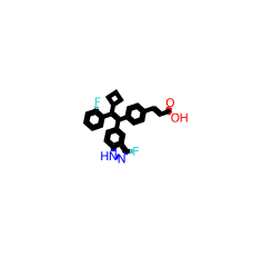 O=C(O)C=Cc1ccc(C(=C(c2ccccc2F)C2CCC2)c2ccc3[nH]nc(F)c3c2)cc1